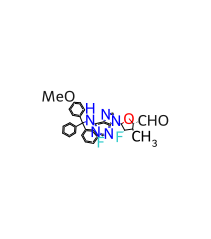 COc1ccc(C(Nc2nc(F)nc3c2ncn3[C@@H]2O[C@H](C=O)[C@@H](C)[C@@H]2F)(c2ccccc2)c2ccccc2)cc1